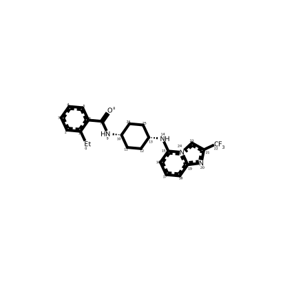 CCc1ccccc1C(=O)N[C@H]1CC[C@@H](Nc2cccc3nc(C(F)(F)F)cn23)CC1